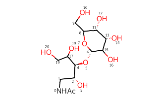 CC(=O)NC[C@@H](O)[C@H](O[C@@H]1OC(CO)[C@H](O)[C@H](O)C1O)C(O)CO